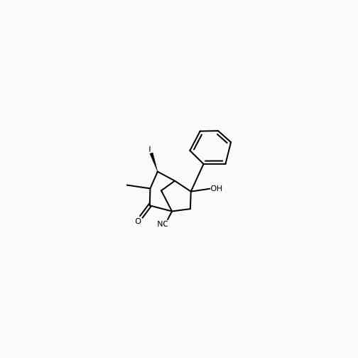 CC1C(=O)C2(C#N)CC([C@@H]1I)C(O)(c1ccccc1)C2